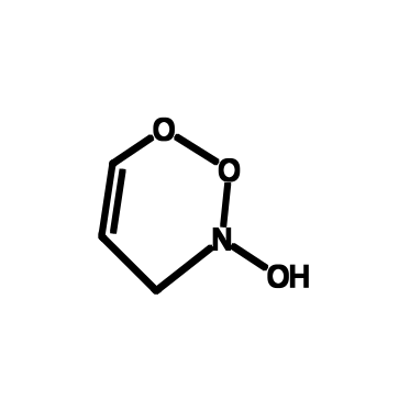 ON1CC=COO1